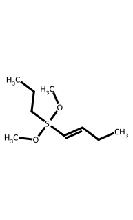 CCC=C[Si](CCC)(OC)OC